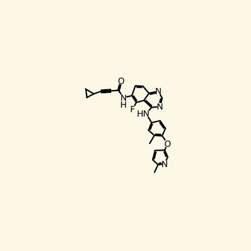 Cc1ccc(Oc2ccc(Nc3ncnc4ccc(NC(=O)C#CC5CC5)c(F)c34)cc2C)cn1